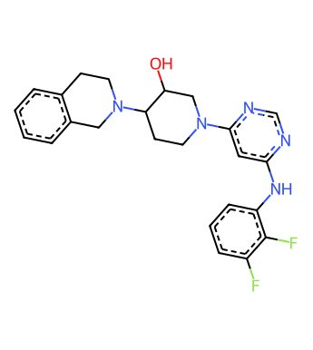 OC1CN(c2cc(Nc3cccc(F)c3F)ncn2)CCC1N1CCc2ccccc2C1